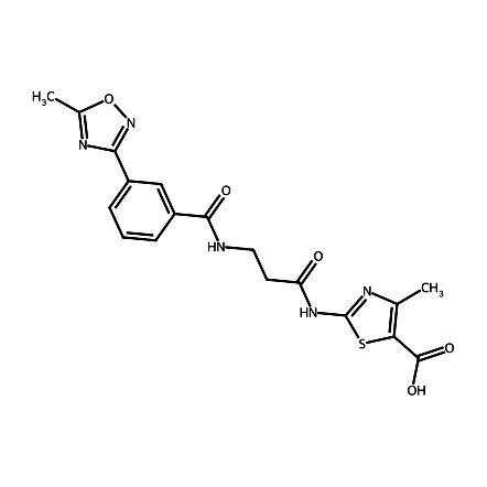 Cc1nc(-c2cccc(C(=O)NCCC(=O)Nc3nc(C)c(C(=O)O)s3)c2)no1